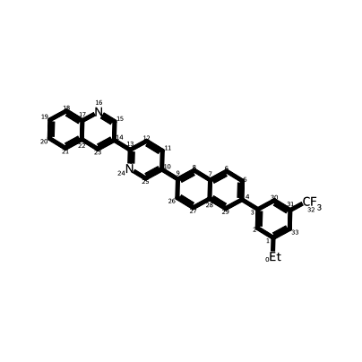 CCc1cc(-c2ccc3cc(-c4ccc(-c5cnc6ccccc6c5)nc4)ccc3c2)cc(C(F)(F)F)c1